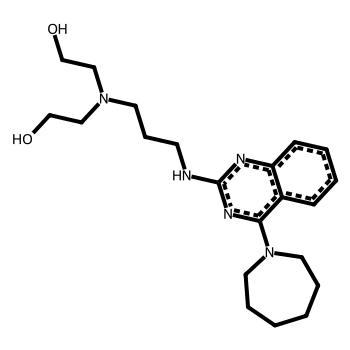 OCCN(CCO)CCCNc1nc(N2CCCCCC2)c2ccccc2n1